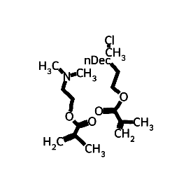 C=C(C)C(=O)OCCCCCCCCCCCC.C=C(C)C(=O)OCCN(C)C.CCl